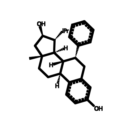 CC(C)[C@@H]1[C@H]2[C@H]3[C@H](CC[C@]2(C)C[C@H]1O)c1ccc(O)cc1C[C@H]3c1ccccc1